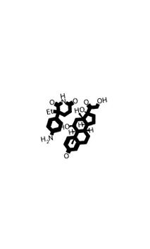 CCC1(c2ccc(N)cc2)CCC(=O)NC1=O.C[C@]12C=CC(=O)C=C1CC[C@@H]1[C@@H]2[C@@H](O)C[C@@]2(C)[C@H]1CC[C@]2(O)C(=O)CO